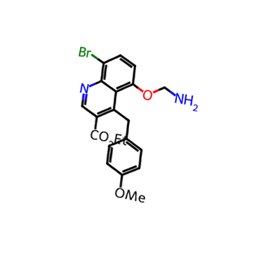 CCOC(=O)c1cnc2c(Br)ccc(OCN)c2c1Cc1ccc(OC)cc1